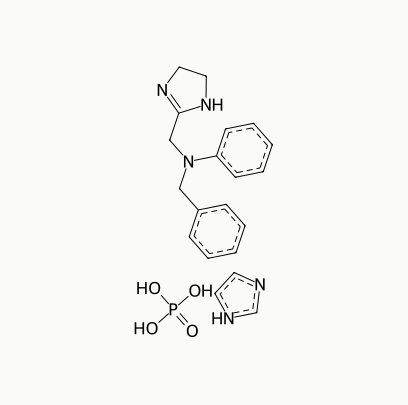 O=P(O)(O)O.c1c[nH]cn1.c1ccc(CN(CC2=NCCN2)c2ccccc2)cc1